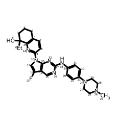 CCC1(O)CCCc2ccc(-n3cc(F)c4cnc(Nc5ccc(N6CCN(C)CC6)cc5)nc43)nc21